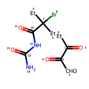 CCC(=O)C(=O)C=O.CCC(Br)(CC)C(=O)NC(N)=O